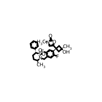 C[C@H]1CC[C@H](c2ccccc2)S(=O)(=O)N1Cc1cc(F)c([C@]2(c3cn(C)c(=O)o3)C[C@](C)(O)C2)cc1F